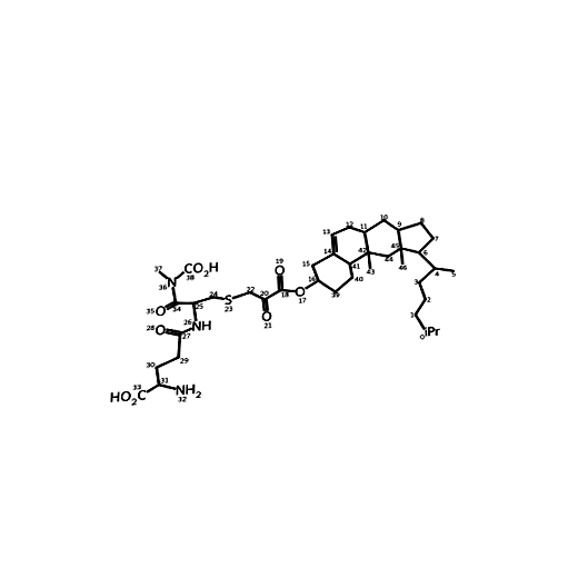 CC(C)CCCC(C)C1CCC2CC3CC=C4CC(OC(=O)C(=O)CSCC(NC(=O)CCC(N)C(=O)O)C(=O)N(C)C(=O)O)CCC4C3(C)CC21C